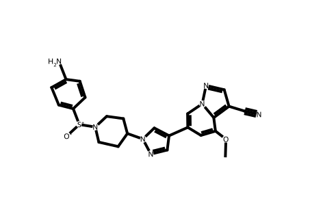 COc1cc(-c2cnn(C3CCN([S+]([O-])c4ccc(N)cc4)CC3)c2)cn2ncc(C#N)c12